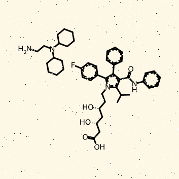 CC(C)c1c(C(=O)Nc2ccccc2)c(-c2ccccc2)c(-c2ccc(F)cc2)n1CC[C@@H](O)C[C@@H](O)CC(=O)O.NCCN(C1CCCCC1)C1CCCCC1